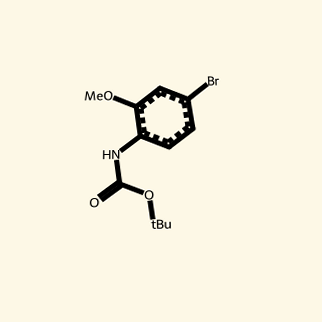 COc1cc(Br)ccc1NC(=O)OC(C)(C)C